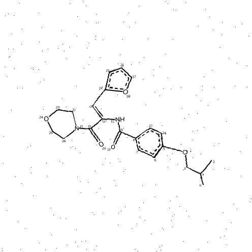 CC(C)COc1ccc(C(=O)N/C(=C\c2ccco2)C(=O)N2CCOCC2)cc1